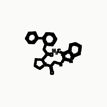 Cn1c(SCC(=O)N2CCCC2C(=O)Cc2ccccc2-c2ccccc2)nc2ccccc21